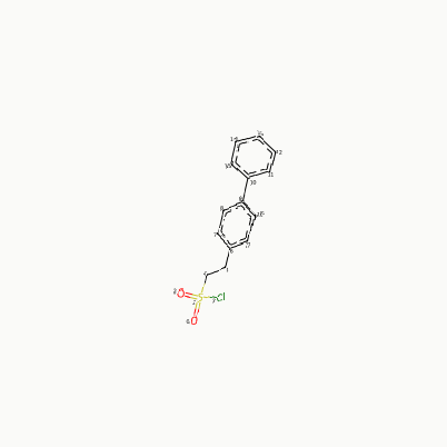 O=S(=O)(Cl)CCc1ccc(-c2ccccc2)cc1